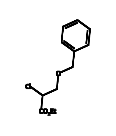 CCOC(=O)C(Cl)COCc1ccccc1